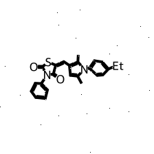 CCc1ccc(-n2c(C)cc(C=C3SC(=O)N(c4ccccc4)C3=O)c2C)cc1